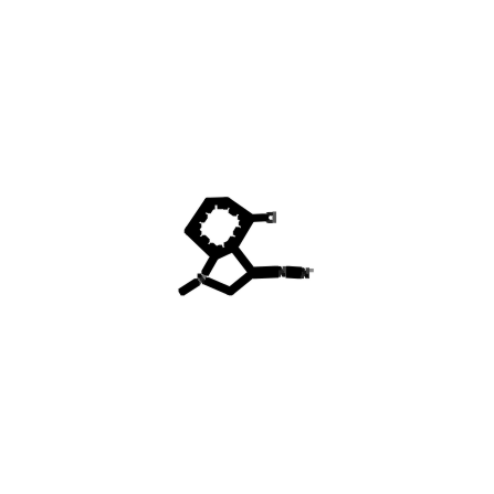 CN1CC(=[N+]=[N-])c2c(Cl)cccc21